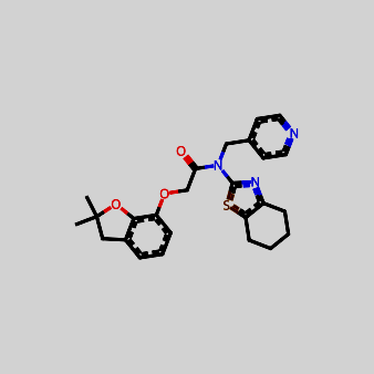 CC1(C)Cc2cccc(OCC(=O)N(Cc3ccncc3)c3nc4c(s3)CCCC4)c2O1